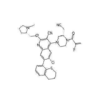 C=C(F)C(=O)N1CCN(c2c(C#N)c(OC[C@@H]3CCCN3C)nc3cc(-c4cccc5c4SCCC5)c(Cl)cc23)C[C@@H]1CC#N